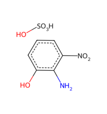 Nc1c(O)cccc1[N+](=O)[O-].O=S(=O)(O)O